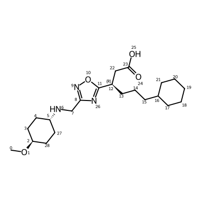 CO[C@H]1CC[C@H](NCc2noc([C@H](CCCC3CCCCC3)CC(=O)O)n2)CC1